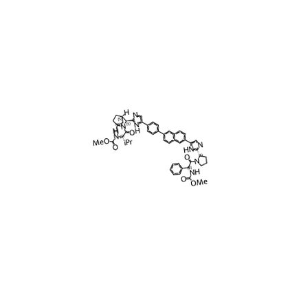 COC(=O)N[C@H](C(=O)N1[C@@H]2CC[C@@H](C2)[C@H]1c1ncc(-c2ccc(-c3ccc4cc(-c5cnc([C@@H]6CCCN6C(=O)[C@H](NC(=O)OC)c6ccccc6)[nH]5)ccc4c3)cc2)[nH]1)C(C)C